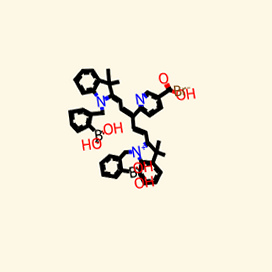 CC1(C)C(/C=C/C(=C/C=C2\N(Cc3ccccc3B(O)O)c3ccccc3C2(C)C)c2ccc(C(=O)O)cn2)=[N+](Cc2ccccc2B(O)O)c2ccccc21.[Br-]